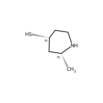 C[C@@H]1C[C@H](S)CCN1